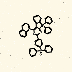 O=P(c1ccccc1)(c1ccccc1)c1ccc(-c2nc(-c3cccc4ccccc34)c3c(n2)C(c2ccccc2)(c2ccccc2)c2ccccc2-3)cc1